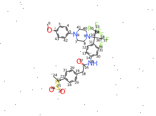 COc1ccc(N2CCN(C(c3ccc(NC(=O)Cc4ccc(C(C)[SH](=O)=O)cc4)cc3)(C(F)(F)F)C(F)(F)F)CC2)cc1